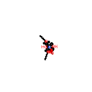 CCCCCCCCOc1c(C(C)(C)C)cc(C(O)(c2cc(C(C)(C)C)c(OCCCCCCCC)c(C(C)(C)C)c2)C(Cc2ccccc2)N=Cc2cc(C(=O)OC)ccc2O)cc1C(C)(C)C